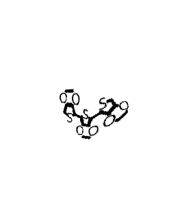 C1COC2=C(CSC2c2sc(C3SCC4=C3OCCO4)c3c2OCCO3)O1